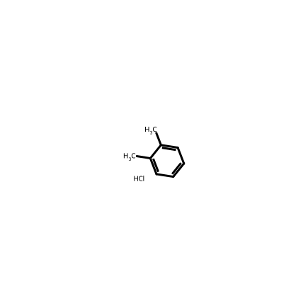 Cc1ccccc1C.Cl